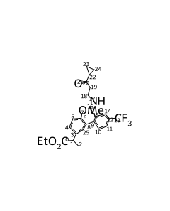 CCOC(=O)C(C)c1ccc(OC)c(-c2ccc(C(F)(F)F)cc2CNCCC(=O)C2CC2)c1